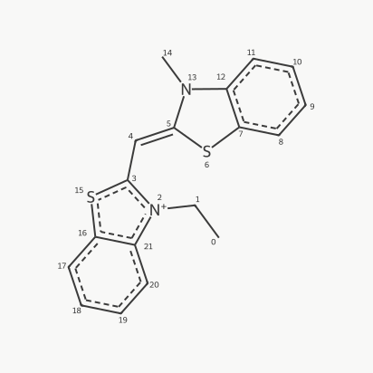 CC[n+]1c(C=C2Sc3ccccc3N2C)sc2ccccc21